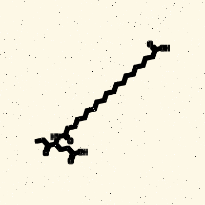 CCC(=O)C(CCC(=O)O)NC(=O)CCCCCCCCCCCCCCCCCCC(=O)O